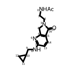 CC(=O)NCCN1Cc2nc(NCC3CC3)ccc2C1=O